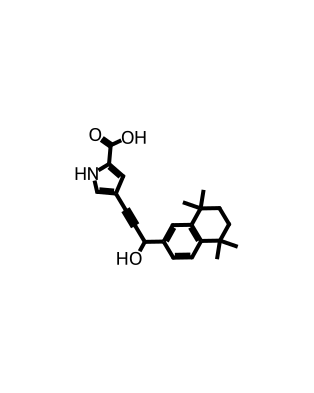 CC1(C)CCC(C)(C)c2cc(C(O)C#Cc3c[nH]c(C(=O)O)c3)ccc21